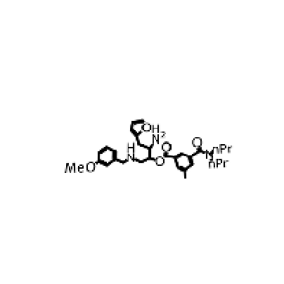 CCCN(CCC)C(=O)c1cc(C)cc(C(=O)OC(CNCc2cccc(OC)c2)C(N)Cc2ccco2)c1